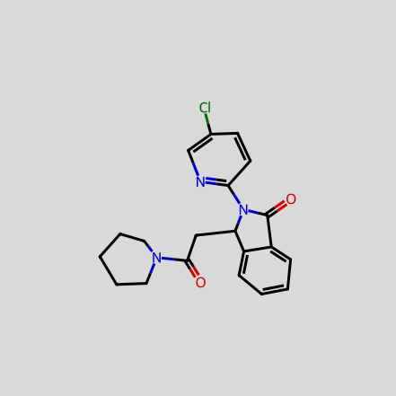 O=C(CC1c2ccccc2C(=O)N1c1ccc(Cl)cn1)N1CCCCC1